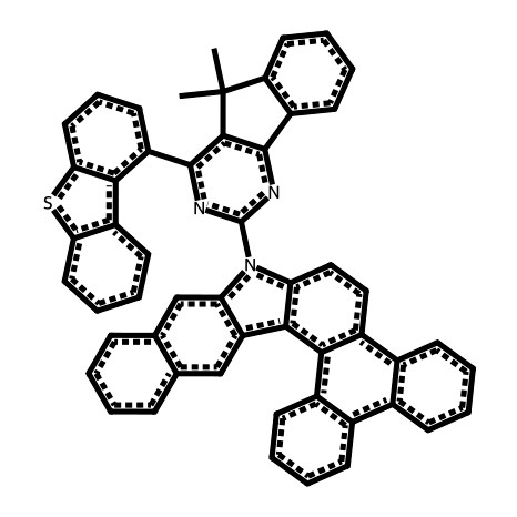 CC1(C)c2ccccc2-c2nc(-n3c4cc5ccccc5cc4c4c5c6ccccc6c6ccccc6c5ccc43)nc(-c3cccc4sc5ccccc5c34)c21